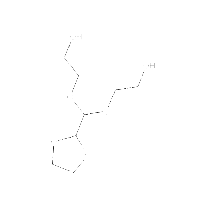 OCCOC(OCCO)C1OCCO1